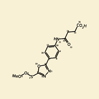 COOSc1nnc(-c2ccc(NC(=O)CCC(=O)O)cc2)o1